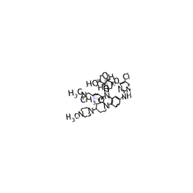 CN(C)C/C=C/C(=O)Nc1cc(Nc2ncc(Cl)c(O[C@@H]3CO[C@H]4[C@@H]3OC[C@H]4O)n2)ccc1N1CCC(N2CCN(C)CC2)CC1